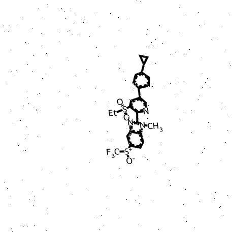 CCS(=O)(=O)c1cc(-c2ccc(C3CC3)cc2)cnc1-c1nc2cc([S+]([O-])C(F)(F)F)ccc2n1C